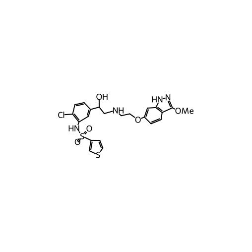 COc1n[nH]c2cc(OCCNCC(O)c3ccc(Cl)c(NS(=O)(=O)c4ccsc4)c3)ccc12